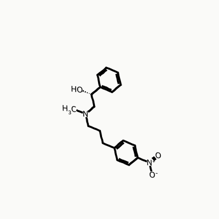 CN(CCCc1ccc([N+](=O)[O-])cc1)C[C@H](O)c1ccccc1